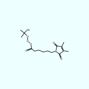 CCCC(C)(C)OOOC(=O)CCCCCN1C(=O)C(C)=C(C)C1=O